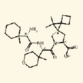 CC1([C@H](N)C(=O)N[C@H](C(=O)N2C[C@]3(C[C@H]2C(=O)O)C(C)(C)C32CCC2)C2(C)CCOCC2)CCCCC1